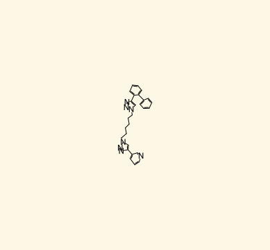 c1ccc(-c2ccccc2-c2cn(CCCCCCn3cc(-c4cccnc4)nn3)nn2)cc1